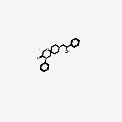 C[C@@H]1OC2(CCN(C[C@H](O)c3ccccc3)CC2)CN(c2ccccc2)C1=O